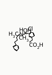 CC(C)(CCCc1ccccc1)NC[C@@H](O)c1cc(CCC(=O)O)ccc1Cl